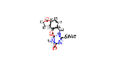 CSc1nc(=O)n(C)c(=O)n1Cc1ccc2c(c1)CCO2